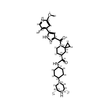 COc1cc(-c2cc(C(=O)N3CC[C@H](C(=O)N[C@H]4CC[C@H](N5C[C@@H](C)N[C@@H](C)C5)CC4)CC34CC4)n[nH]2)c(F)cn1